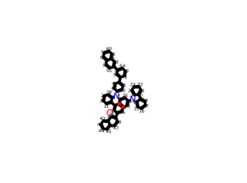 c1cc(-c2ccc(N(c3cccc(-n4c5ccccc5c5ccccc54)c3)c3ccccc3-c3cccc4c3oc3c5ccccc5ccc43)cc2)cc(-c2ccc3ccccc3c2)c1